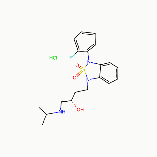 CC(C)NC[C@@H](O)CCN1c2ccccc2N(c2ccccc2F)S1(=O)=O.Cl